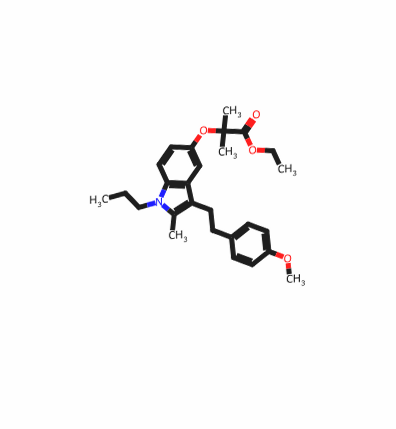 CCCn1c(C)c(CCc2ccc(OC)cc2)c2cc(OC(C)(C)C(=O)OCC)ccc21